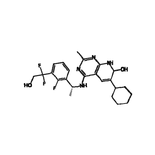 Cc1nc2c(c(N[C@H](C)c3cccc(C(F)(F)CO)c3F)n1)C=C(C1CCCCC1)C(O)N2